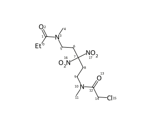 CCC(=O)N(C)CCC(CCN(C)C(=O)CCl)([N+](=O)[O-])[N+](=O)[O-]